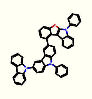 c1ccc(-n2c3ccc(-c4cccc5oc6c(c7ccccc7n6-c6ccccc6)c45)cc3c3cc(-n4c5ccccc5c5ccccc54)ccc32)cc1